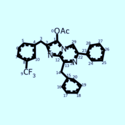 CC(=O)Oc1c(Cc2cccc(C(F)(F)F)c2)nc2c(Cc3ccccc3)nc(-c3ccccc3)cn12